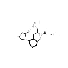 CCC1CC(C)CN1c1cccc2c1CC(CN(C)C)N(C(=O)OC(C)(C)C)C2